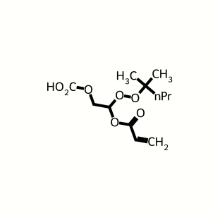 C=CC(=O)OC(COC(=O)O)OOC(C)(C)CCC